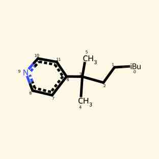 CCC(C)CCC(C)(C)c1ccncc1